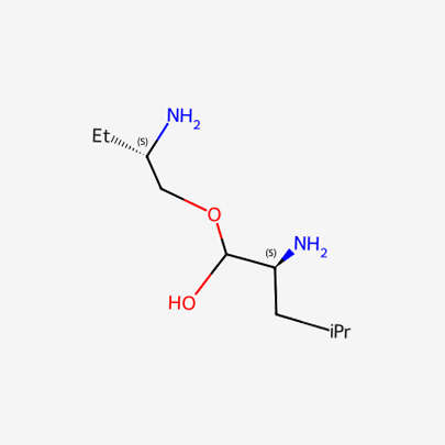 CC[C@H](N)COC(O)[C@@H](N)CC(C)C